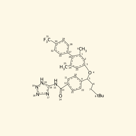 Cc1cc(OC(CCC(C)(C)C)c2ccc(C(=O)Nc3nnn[nH]3)cc2)cc(C)c1-c1ccc(C(F)(F)F)cc1